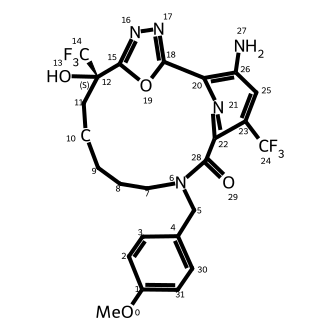 COc1ccc(CN2CCCCC[C@@](O)(C(F)(F)F)c3nnc(o3)-c3nc(c(C(F)(F)F)cc3N)C2=O)cc1